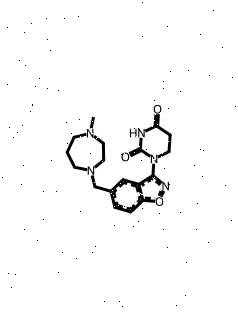 CN1CCCN(Cc2ccc3onc(N4CCC(=O)NC4=O)c3c2)CC1